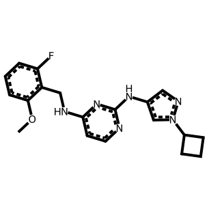 COc1cccc(F)c1CNc1ccnc(Nc2cnn(C3CCC3)c2)n1